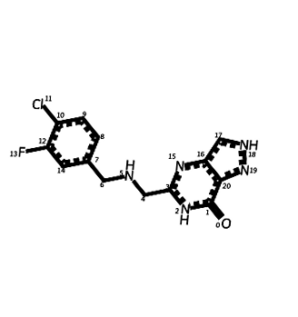 O=c1[nH]c(CNCc2ccc(Cl)c(F)c2)nc2c[nH]nc12